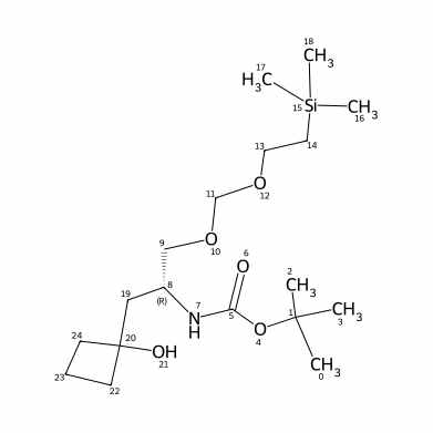 CC(C)(C)OC(=O)N[C@@H](COCOCC[Si](C)(C)C)CC1(O)CCC1